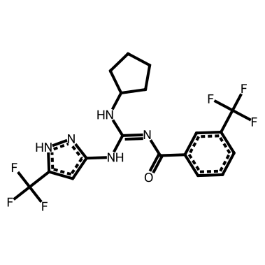 O=C(/N=C(\Nc1cc(C(F)(F)F)[nH]n1)NC1CCCC1)c1cccc(C(F)(F)F)c1